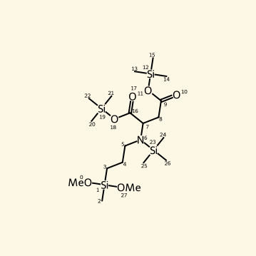 CO[Si](C)(CCCN(C(CC(=O)O[Si](C)(C)C)C(=O)O[Si](C)(C)C)[Si](C)(C)C)OC